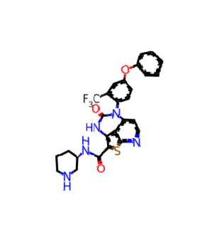 O=C(N[C@@H]1CCCNC1)c1sc2nccc3c2c1NC(=O)N3c1ccc(Oc2ccccc2)cc1C(F)(F)F